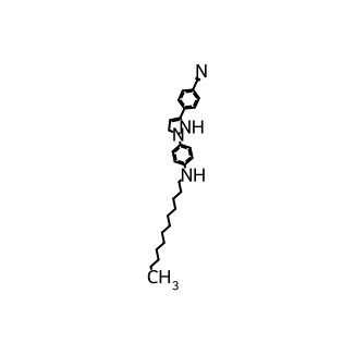 CCCCCCCCCCCCNc1ccc(N2CC=C(c3ccc(C#N)cc3)N2)cc1